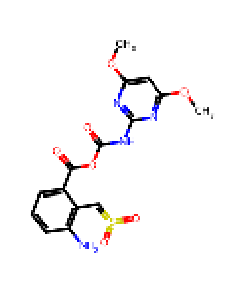 COc1cc(OC)nc(NC(=O)OC(=O)c2cccc(N)c2C=S(=O)=O)n1